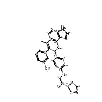 CC1=C(c2cccc(O)c2)C(c2ccc(OC[C@H](C)N3CCCC3)cc2)Oc2c1ccc1[nH]ncc21